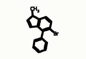 CC1C=Cc2c1ccc(Br)c2-c1ccccc1